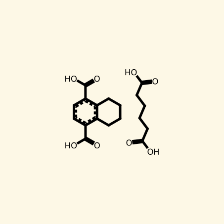 O=C(O)CCCCC(=O)O.O=C(O)c1ccc(C(=O)O)c2c1CCCC2